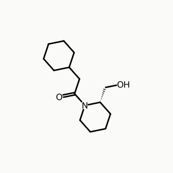 O=C(CC1CCCCC1)N1CCCC[C@H]1CO